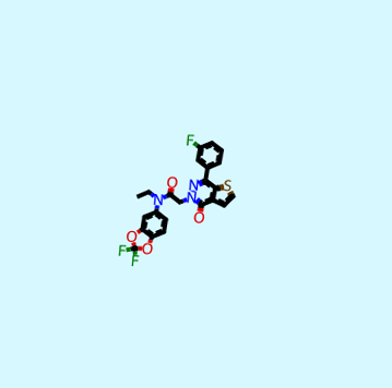 CCN(C(=O)Cn1nc(-c2cccc(F)c2)c2sccc2c1=O)c1ccc2c(c1)OC(F)(F)O2